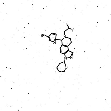 FC(F)CN1CCc2c(ccc3c2cnn3C2CCCCO2)C1c1ccc(Br)cn1